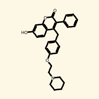 O=c1oc2cc(O)ccc2c(Cc2ccc(OCCN3CCCCC3)cc2)c1-c1ccccc1